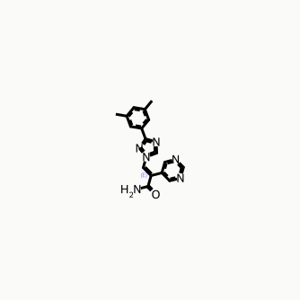 Cc1cc(C)cc(-c2ncn(/C=C(/C(N)=O)c3cncnc3)n2)c1